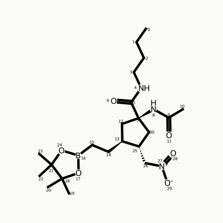 CCCCNC(=O)[C@@]1(NC(C)=O)C[C@H](CCB2OC(C)(C)C(C)(C)O2)[C@@H](C[N+](=O)[O-])C1